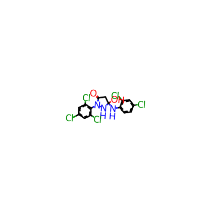 O=C1CC(O)(Nc2ccc(Cl)cc2Cl)NN1c1c(Cl)cc(Cl)cc1Cl